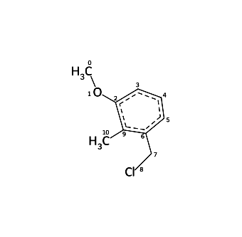 COc1cccc(CCl)c1C